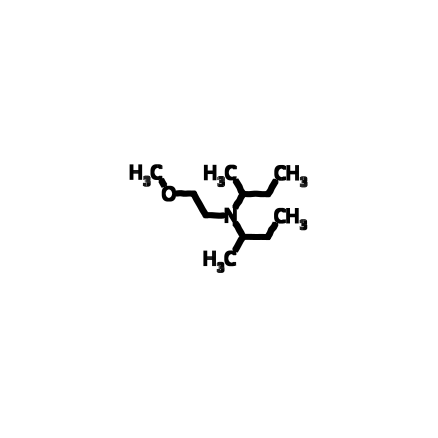 CCC(C)N(CCOC)C(C)CC